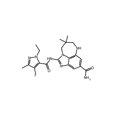 CCn1nc(C)c(F)c1C(=O)Nc1nc2cc(C(N)=O)cc3c2n1CC(C)(C)CN3